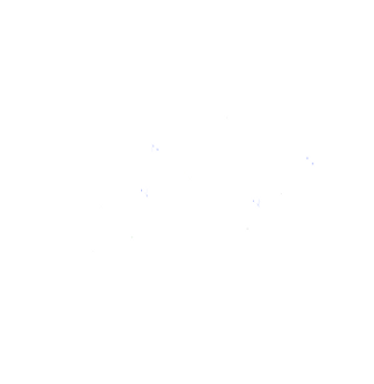 CNC(=O)c1cc(Oc2ccc3nc(NCc4cccc(Cl)c4Cl)sc3c2)ccn1